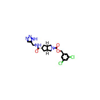 O=C(NCc1cnn[nH]1)[C@@H]1C[C@@H]2CN(C(=O)OCc3cc(Cl)cc(Cl)c3)C[C@@H]2C1